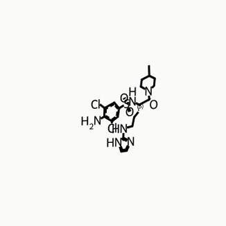 CC1CCN(C(=O)[C@H](CCCNc2ncc[nH]2)NS(=O)(=O)c2cc(Cl)c(N)c(Cl)c2)CC1